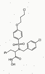 CC(C)CC(C(=O)NO)N(Cc1ccc(Cl)cc1)S(=O)(=O)c1ccc(OCCCCl)cc1